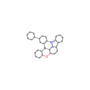 c1ccc(-c2ccc3c(c2)B2c4ccccc4Oc4ccc5c6ccccc6n-3c5c42)cc1